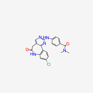 CN(C)C(=O)c1ccc(Nc2ncc3c(n2)-c2ccc(Cl)cc2NC(=O)C3)cc1